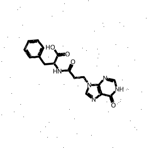 O=C(CCn1cnc2c(=O)[nH]cnc21)NC(Cc1ccccc1)C(=O)O